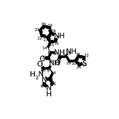 NC(=O)[C@H](Cc1c[nH]cn1)NC(=O)[C@H](Cc1c[nH]c2ccccc12)NC(=O)[C@@H](N)Cc1ccsc1